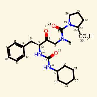 CN(CC(=O)[C@H](Cc1ccccc1)NC(=O)NC1CCCCC1)C(=O)N1CCC[C@H]1C(=O)O